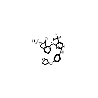 CN1Cc2cccc(Oc3nc(Nc4ccc(OC5CCOC5)cc4)ncc3C(F)(F)F)c2C1=O